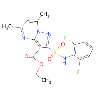 CCOC(=O)c1c(S(=O)(=O)Nc2c(F)cccc2F)nn2c(C)cc(C)nc12